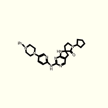 CC(C)N1CCN(c2ccc(Nc3ncc4c(n3)NC3(CCN(C5CCCC5)C3=O)C4)nc2)CC1